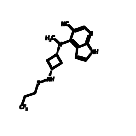 CN(c1c(C#N)cnc2[nH]ccc12)[C@H]1C[C@@H](NSCCC(F)(F)F)C1